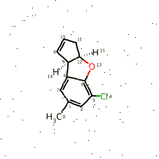 Cc1cc(Cl)c2c(c1)[C@H]1C=CC[C@H]1O2